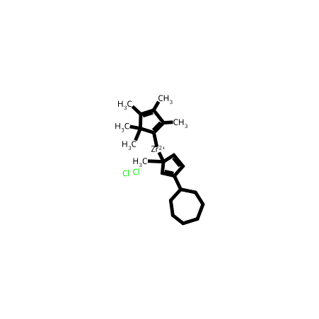 CC1=C(C)C(C)(C)[C]([Zr+2][C]2(C)C=CC(C3CCCCCC3)=C2)=C1C.[Cl-].[Cl-]